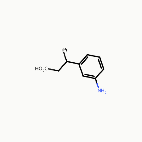 CC(C)C(CC(=O)O)c1cccc(N)c1